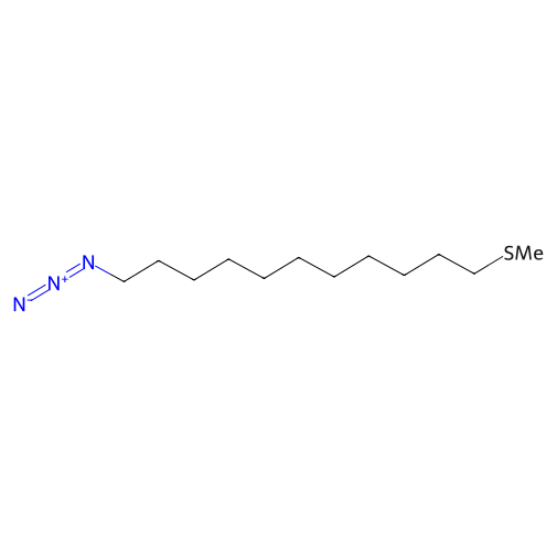 CSCCCCCCCCCCCN=[N+]=[N-]